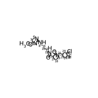 COc1ccnc(NCCCCCNC(=O)c2cccn(Cc3ccc(F)c(Cl)c3)c2=O)n1